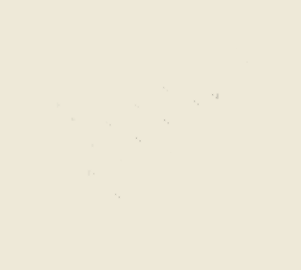 O=C(Nc1nccs1)[C@@H]1C[C@H](O)CN1c1nc(Cl)nc(Nc2cc(C3CC3)[nH]n2)n1